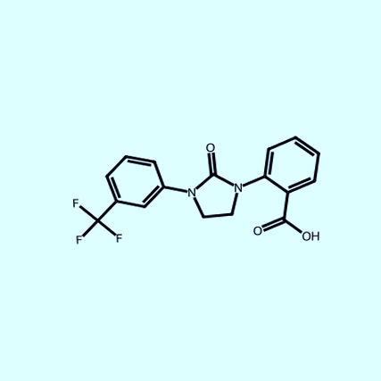 O=C(O)c1ccccc1N1CCN(c2cccc(C(F)(F)F)c2)C1=O